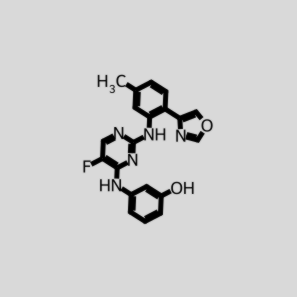 Cc1ccc(-c2cocn2)c(Nc2ncc(F)c(Nc3cccc(O)c3)n2)c1